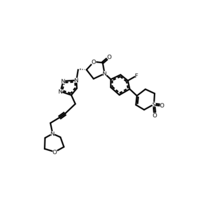 O=C1O[C@@H](Cn2cc(CC#CCN3CCOCC3)nn2)CN1c1ccc(C2=CCS(=O)(=O)CC2)c(F)c1